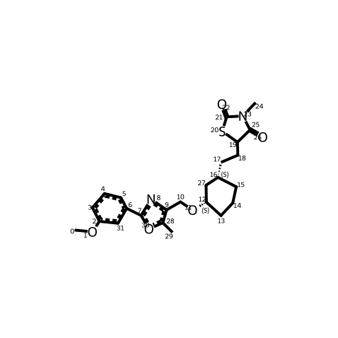 COc1cccc(-c2nc(CO[C@H]3CCC[C@@H](CCC4SC(=O)N(C)C4=O)C3)c(C)o2)c1